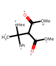 CCCCCCC(C)(CCC)C(C(=O)OC)C(=O)OC